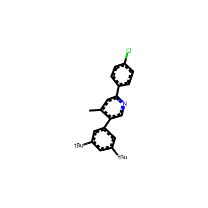 Cc1cc(-c2ccc(Cl)cc2)ncc1-c1cc(C(C)(C)C)cc(C(C)(C)C)c1